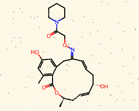 Cc1cc(O)cc2c1C(=O)O[C@H](C)C/C=C/[C@@H](O)C/C=C/C(=N/OCC(=O)N1CCCCC1)C2